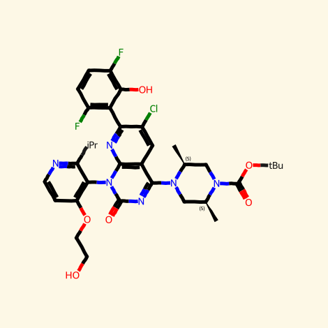 CC(C)c1nccc(OCCO)c1-n1c(=O)nc(N2C[C@H](C)N(C(=O)OC(C)(C)C)C[C@@H]2C)c2cc(Cl)c(-c3c(F)ccc(F)c3O)nc21